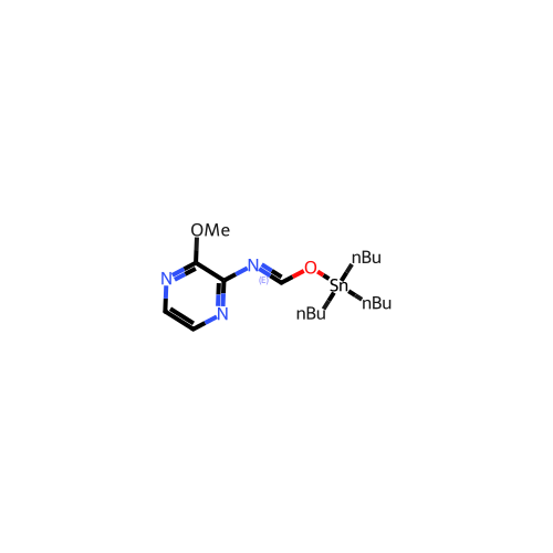 CCC[CH2][Sn]([CH2]CCC)([CH2]CCC)[O]/C=N/c1nccnc1OC